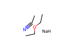 CC#N.CCOCC.[NaH]